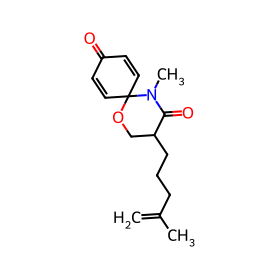 C=C(C)CCCC1COC2(C=CC(=O)C=C2)N(C)C1=O